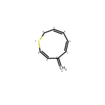 C=C1/C=C\C=C/CS/C=C\1